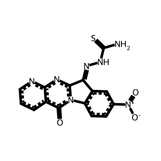 NC(=S)NN=C1c2cc([N+](=O)[O-])ccc2-n2c1nc1ncccc1c2=O